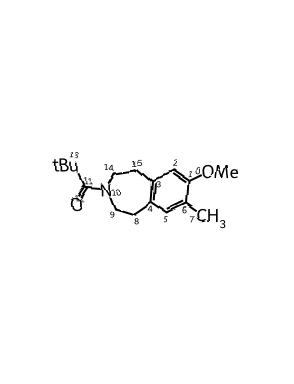 COc1cc2c(cc1C)CCN(C(=O)C(C)(C)C)CC2